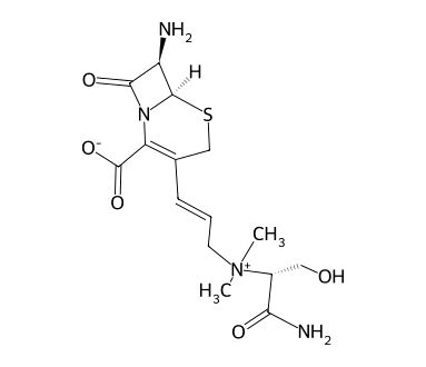 C[N+](C)(C/C=C/C1=C(C(=O)[O-])N2C(=O)[C@@H](N)[C@H]2SC1)[C@H](CO)C(N)=O